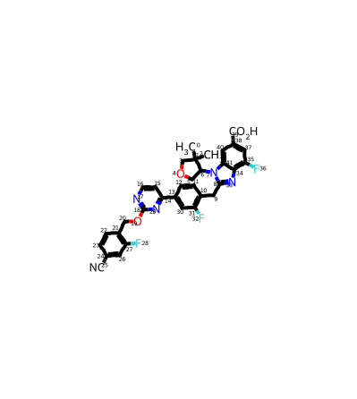 CC1(C)COCC1n1c(Cc2ccc(-c3ccnc(OCc4ccc(C#N)cc4F)n3)cc2F)nc2c(F)cc(C(=O)O)cc21